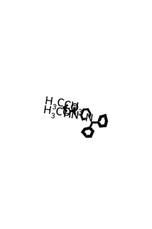 CC(C)(C)OC(=O)N[C@@H]1CCCN(C(c2ccccc2)c2ccccc2)C1